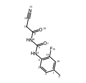 Cc1ccc(NC(=O)NC(=O)CC#N)c(F)c1